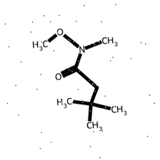 CON(C)C(=O)CC(C)(C)C